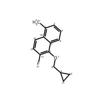 Cc1cccc2c(OCC3CC3)c(F)ccc12